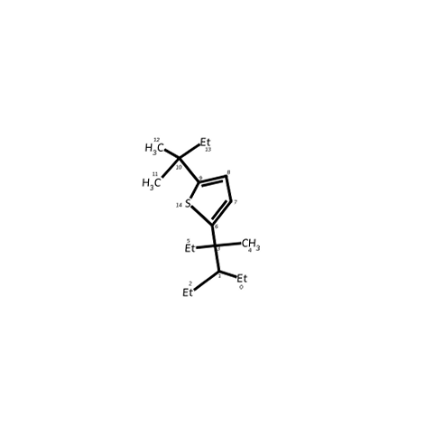 CCC(CC)C(C)(CC)c1ccc(C(C)(C)CC)s1